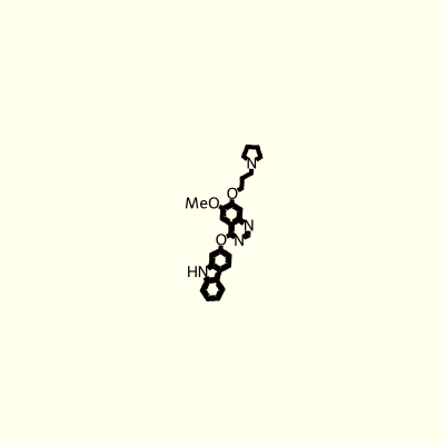 COc1cc2c(Oc3ccc4c(c3)[nH]c3ccccc34)ncnc2cc1OCCCN1CCCC1